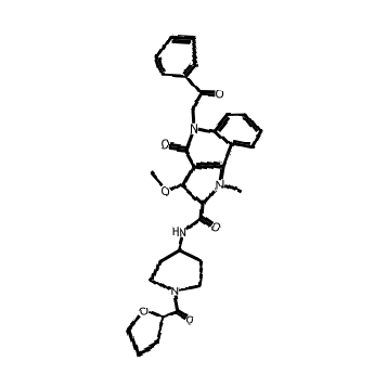 COC1c2c(c3ccccc3n(CC(=O)c3ccccc3)c2=O)N(C)C1C(=O)NC1CCN(C(=O)C2CCCO2)CC1